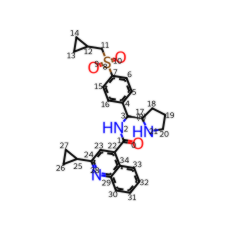 O=C(NC(c1ccc(S(=O)(=O)CC2CC2)cc1)[C@H]1CCCN1)c1cc(C2CC2)nc2ccccc12